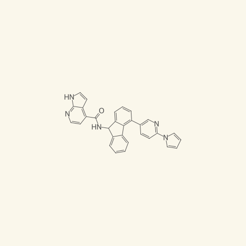 O=C(NC1c2ccccc2-c2c(-c3ccc(-n4cccc4)nc3)cccc21)c1ccnc2[nH]ccc12